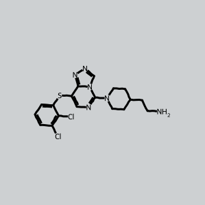 NCCC1CCN(c2ncc(Sc3cccc(Cl)c3Cl)c3nncn23)CC1